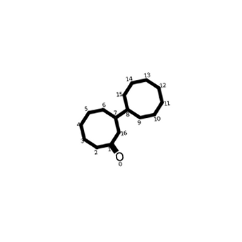 O=C1CCCCCC(C2CCCCCCC2)C1